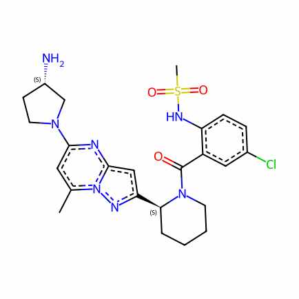 Cc1cc(N2CC[C@H](N)C2)nc2cc([C@@H]3CCCCN3C(=O)c3cc(Cl)ccc3NS(C)(=O)=O)nn12